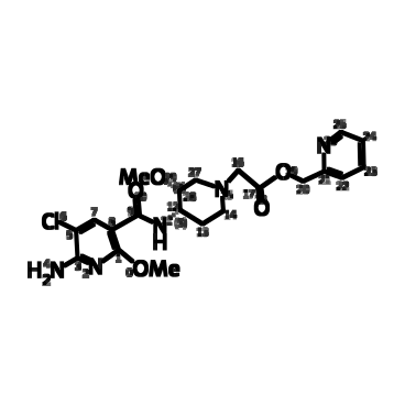 COc1nc(N)c(Cl)cc1C(=O)N[C@H]1CCN(CC(=O)OCc2ccccn2)C[C@H]1OC